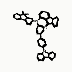 CC1(C)c2ccccc2-c2ccc(N(c3ccc(-c4ccc(-n5c6ccccc6c6ccccc65)cc4)cc3)c3cccc4c3C(=O)c3ccccc3-4)cc21